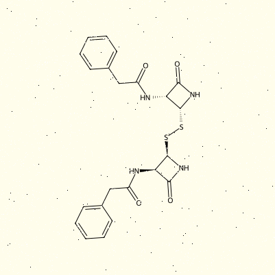 O=C(Cc1ccccc1)N[C@@H]1C(=O)N[C@@H]1SS[C@H]1NC(=O)[C@H]1NC(=O)Cc1ccccc1